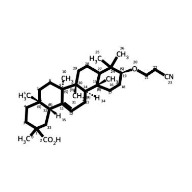 CC1(C(=O)O)CC[C@]2(C)CC[C@]3(C)C(=CC[C@@H]4[C@@]5(C)CC[C@H](OCCC#N)C(C)(C)C5CC[C@]43C)[C@@H]2C1